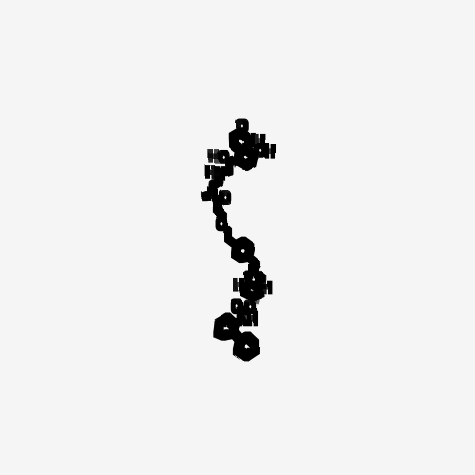 CN(CCNC[C@H](O)c1ccc(O)c2[nH]c(=O)ccc12)C(=O)CCOCCc1ccc(CN2C[C@H]3C[C@H](OC(=O)Nc4ccccc4-c4ccccc4)C[C@H]3C2)cc1